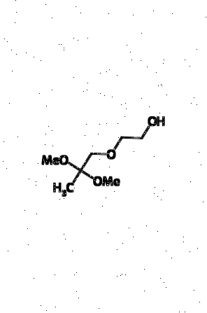 COC(C)(COCCO)OC